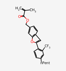 C=C(C)C(=O)OCc1ccc2cc(-c3ccc(CCCCC)cc3C(F)(F)F)oc2c1